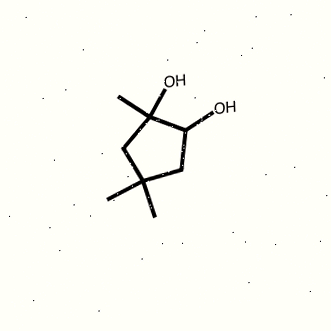 CC1(C)CC(O)C(C)(O)C1